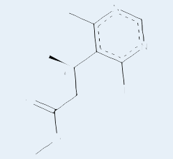 COC(=O)C[C@@H](C)c1c(C)ncnc1I